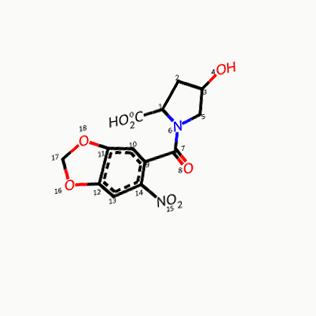 O=C(O)C1CC(O)CN1C(=O)c1cc2c(cc1[N+](=O)[O-])OCO2